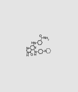 NC(=O)c1cccc(Nc2cc3nc[nH]c(=O)c3c(Nc3ccc(N4CCCCC4)cc3)n2)c1